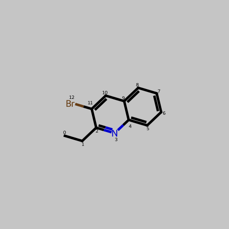 CCc1nc2ccccc2cc1Br